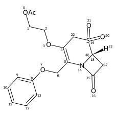 CC(=O)OCCOC1=C(COc2ccccc2)N2C(=O)C[C@H]2S(=O)(=O)C1